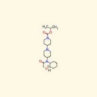 CC(C)OC(=O)N1CCC(N2CCC(N3C(=O)CO[C@@H]4CCCCC43)CC2)CC1